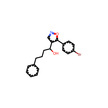 OC(CCCc1ccccc1)c1cnoc1-c1ccc(Br)cc1